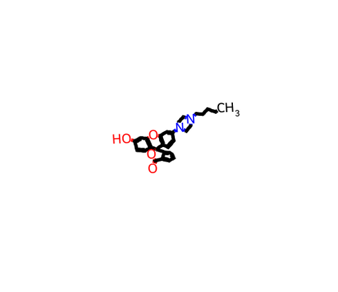 CCCCCN1CCN(c2ccc3c(c2)Oc2cc(O)ccc2C32OC(=O)c3ccccc32)CC1